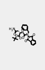 CC(C)(C)OC(=O)[C@H](CC(N)=O)NC(=O)N(Cc1ccccc1)N1C(=O)c2ccccc2C1=O